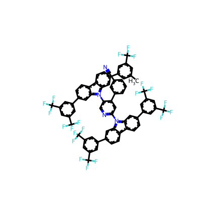 Cc1cc(-c2ccc3c4ccc(-c5cc(C(F)(F)F)cc(C(F)(F)F)c5)cc4n(-c4cnc(-n5c6cc(-c7cc(C(F)(F)F)cc(C(F)(F)F)c7)ccc6c6ccc(-c7cc(C(F)(F)F)cc(C(F)(F)F)c7)cc65)cc4-c4cccc(C#N)c4)c3c2)cc(C(F)(F)F)c1